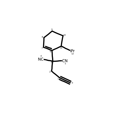 C#CCC(C#N)(C#N)C1=CCCCC1C(C)C